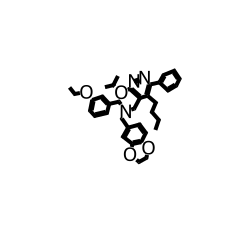 CCCCc1c(-c2ccccc2)nnc(OC(C)C)c1CN(Cc1cccc(OCC)c1)Cc1ccc2c(c1)OCCO2